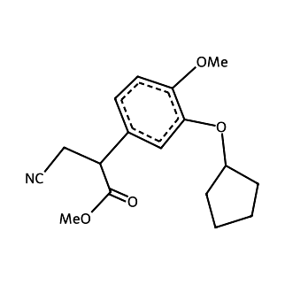 COC(=O)C(CC#N)c1ccc(OC)c(OC2CCCC2)c1